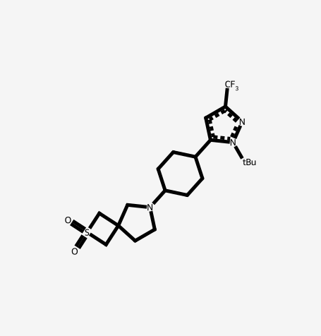 CC(C)(C)n1nc(C(F)(F)F)cc1C1CCC(N2CCC3(C2)CS(=O)(=O)C3)CC1